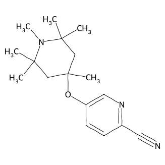 CN1C(C)(C)CC(C)(Oc2ccc(C#N)nc2)CC1(C)C